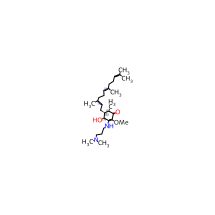 COC1=C(NCCCN(C)C)[C@@H](O)[C@@H](C/C=C(\C)CC/C=C(\C)CCC=C(C)C)[C@H](C)C1=O